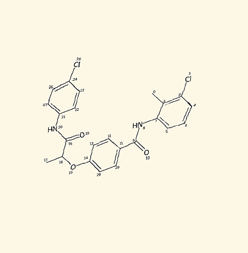 Cc1c(Cl)cccc1NC(=O)c1ccc(OC(C)C(=O)Nc2ccc(Cl)cc2)cc1